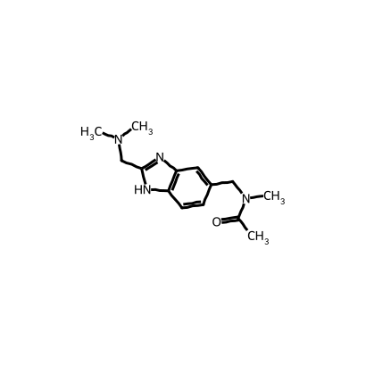 CC(=O)N(C)Cc1ccc2[nH]c(CN(C)C)nc2c1